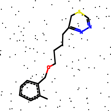 Cc1ccccc1COCCCCC1=NN=CSC1